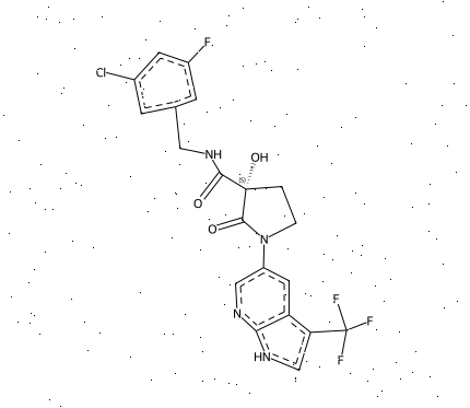 O=C(NCc1cc(F)cc(Cl)c1)[C@@]1(O)CCN(c2cnc3[nH]cc(C(F)(F)F)c3c2)C1=O